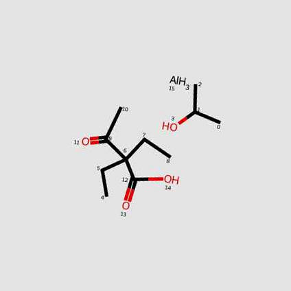 CC(C)O.CCC(CC)(C(C)=O)C(=O)O.[AlH3]